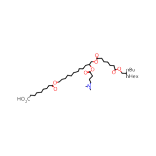 CCCCCCC(CCCC)COC(=O)CCCCCC(=O)OCC(CCCCCCCCCCOC(=O)CCCCCCCC(=O)O)OC(=O)CCCN(C)C